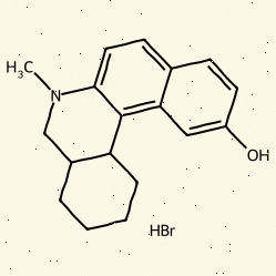 Br.CN1CC2CCCCC2c2c1ccc1ccc(O)cc21